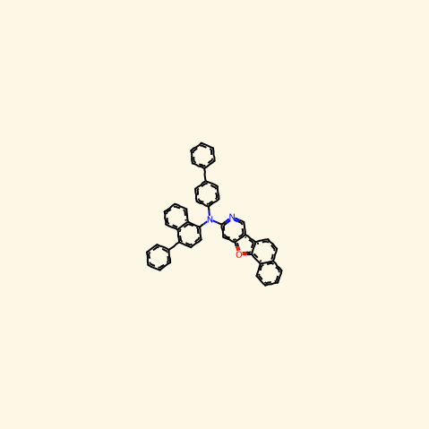 c1ccc(-c2ccc(N(c3cc4oc5c6ccccc6ccc5c4cn3)c3ccc(-c4ccccc4)c4ccccc34)cc2)cc1